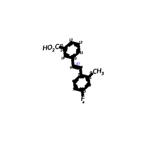 Cc1cc(F)ccc1/C=C/c1cccc(C(=O)O)c1